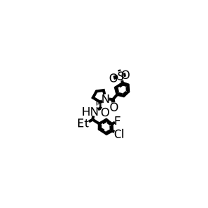 CCC(NC(=O)[C@H]1CCCN1C(=O)c1cccc(S(C)(=O)=O)c1)c1ccc(Cl)c(F)c1